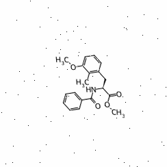 COC(=O)[C@H](Cc1cccc(OC)c1C)NC(=O)c1ccccc1